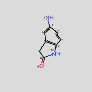 [NH]c1ccc2c(c1)CC(=O)N2